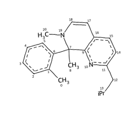 Cc1ccccc1C1(C)c2nc(CC(C)C)ccc2C=CN1C